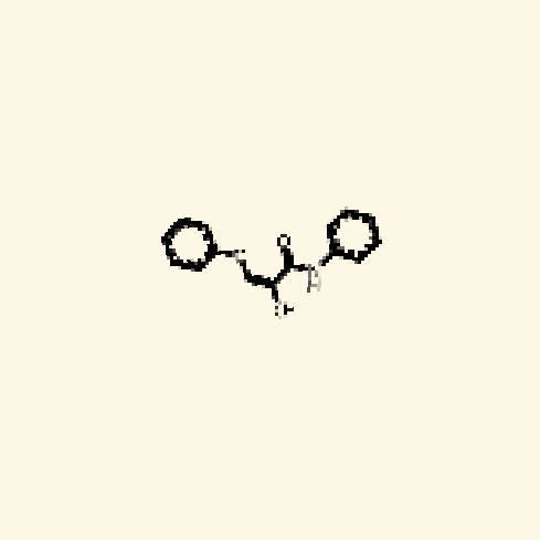 CC(=COc1ccccc1)C(=O)Nc1ccccc1